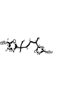 CC(CCC(C)(C)c1nnc(C(C)(C)C)o1)c1nc(C(C)(C)C)no1